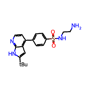 CC(C)(C)c1cc2c(-c3ccc(S(=O)(=O)NCCN)cc3)ccnc2[nH]1